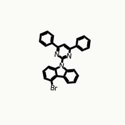 Brc1cccc2c1c1ccccc1n2-c1nc(-c2ccccc2)cc(-c2ccccc2)n1